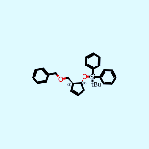 CC(C)(C)[Si](O[C@@H]1CC=C[C@H]1COCc1ccccc1)(c1ccccc1)c1ccccc1